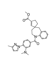 COC(=O)C1=CC2(CC1)CCN(C(=O)c1ccc(-n3ccc(C)n3)c(N(C)C)c1)c1ccccc1C2